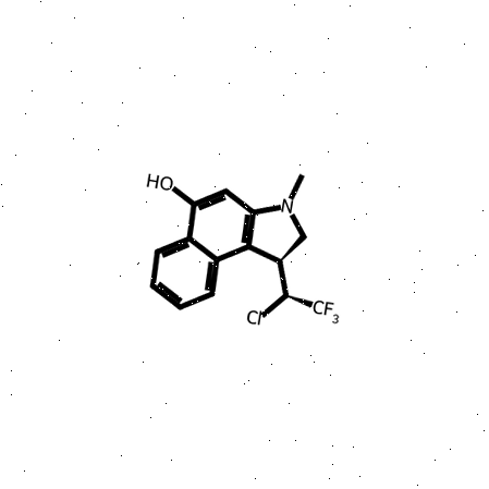 CN1C[C@@H]([C@H](Cl)C(F)(F)F)c2c1cc(O)c1ccccc21